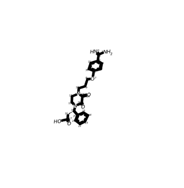 N=C(N)c1ccc(OCCCN2CCN([C@@H](CC(=O)O)c3ccccc3)C(=O)C2=O)cc1